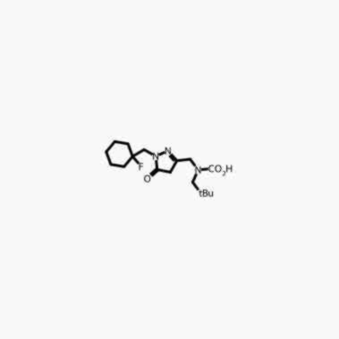 CC(C)(C)CN(CC1=NN(CC2(F)CCCCC2)C(=O)C1)C(=O)O